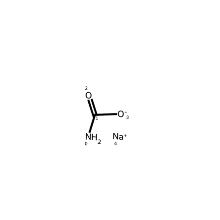 NC(=O)[O-].[Na+]